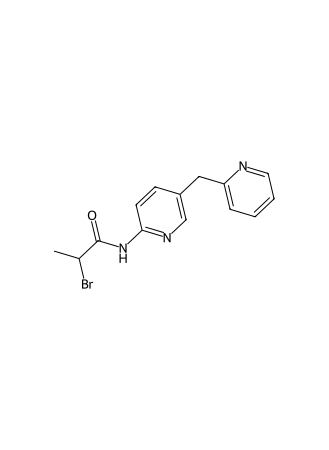 CC(Br)C(=O)Nc1ccc(Cc2ccccn2)cn1